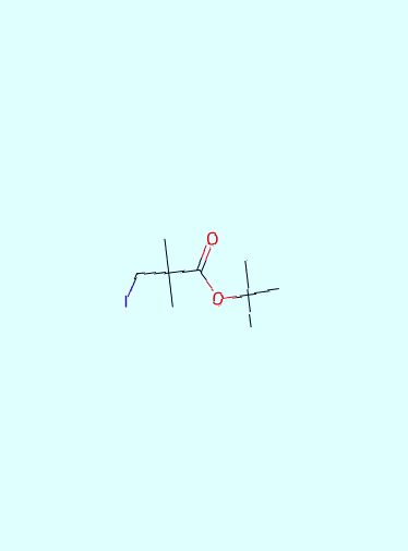 CC(C)(C)OC(=O)C(C)(C)CI